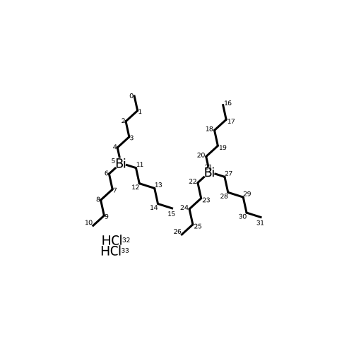 CCCC[CH2][Bi]([CH2]CCCC)[CH2]CCCC.CCCC[CH2][Bi]([CH2]CCCC)[CH2]CCCC.Cl.Cl